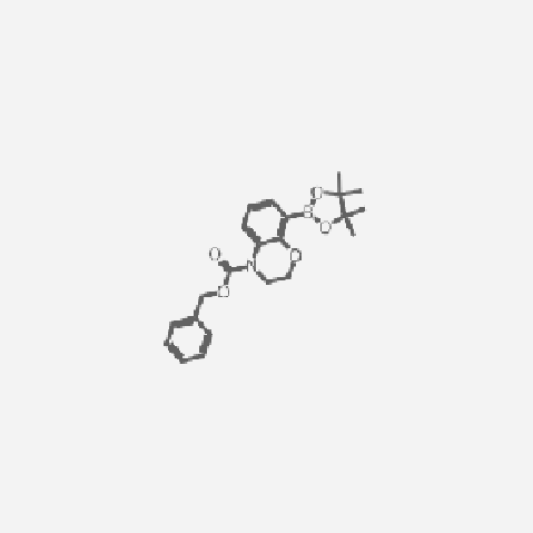 CC1(C)OB(c2cccc3c2OCCN3C(=O)OCc2ccccc2)OC1(C)C